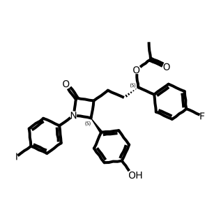 CC(=O)O[C@@H](CCC1C(=O)N(c2ccc(I)cc2)[C@@H]1c1ccc(O)cc1)c1ccc(F)cc1